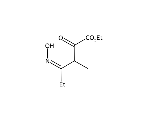 CCOC(=O)C(=O)C(C)/C(CC)=N\O